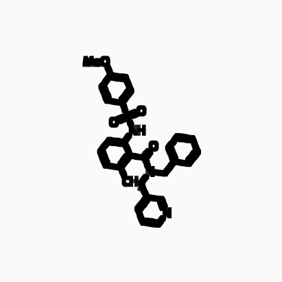 COc1ccc(S(=O)(=O)Nc2cccc(C)c2C(=O)N(Cc2ccccc2)Cc2cccnc2)cc1